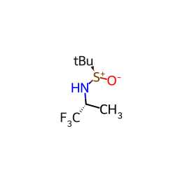 C[C@@H](N[S@+]([O-])C(C)(C)C)C(F)(F)F